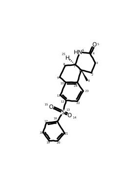 C[C@]12CCC(=O)N[C@@H]1CCc1cc(S(=O)(=O)c3ccccc3)ccc12